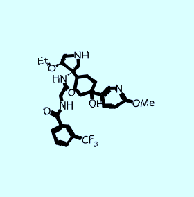 CCO[C@H]1CNC[C@@]1(NC(=O)CNC(=O)c1cccc(C(F)(F)F)c1)C1CCC(O)(c2ccc(OC)nc2)CC1